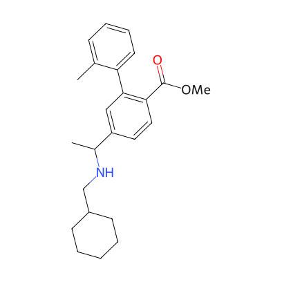 COC(=O)c1ccc(C(C)NCC2CCCCC2)cc1-c1ccccc1C